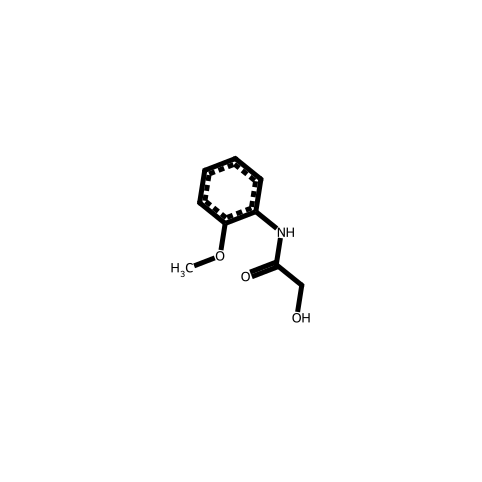 COc1ccccc1NC(=O)CO